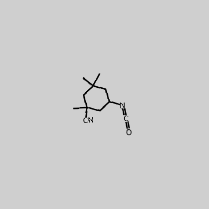 CC1(C)CC(N=C=O)CC(C)(C#N)C1